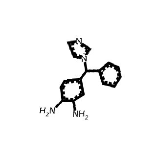 Nc1ccc(C(c2ccccc2)n2ccnc2)cc1N